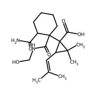 CC(C)=CC1C(C)(C)C1(C(=O)O)C1(C(=O)NCO)CCCCC1C(N)=O